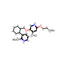 COCCOc1cc(C=O)c(OCC2CCCCC2c2cccnc2OC)cn1